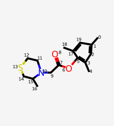 Cc1cc(C)c(OC(=O)CN2CCSCC2C)c(C)c1